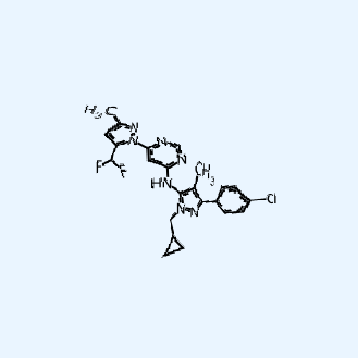 Cc1cc(C(F)F)n(-c2cc(Nc3c(C)c(-c4ccc(Cl)cc4)nn3CC3CC3)ncn2)n1